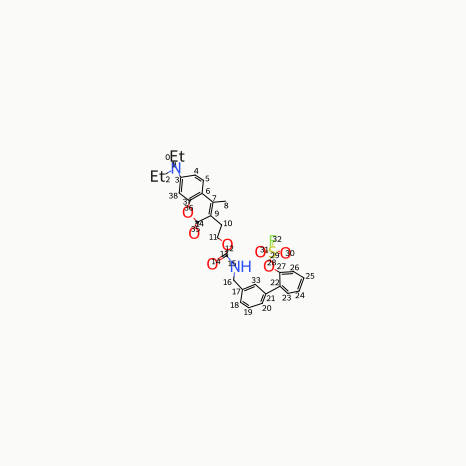 CCN(CC)c1ccc2c(C)c(CCOC(=O)NCc3cccc(-c4ccccc4OS(=O)(=O)F)c3)c(=O)oc2c1